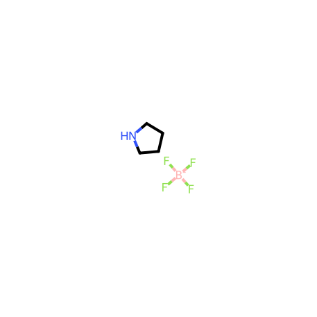 C1CCNC1.F[B-](F)(F)F